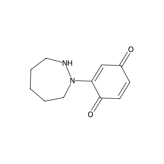 O=C1C=CC(=O)C(N2CCCCCN2)=C1